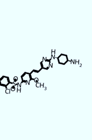 COc1nc(NS(=O)(=O)c2ccccc2Cl)ccc1/C=C/c1cnc(N[C@H]2CC[C@H](N)CC2)nc1